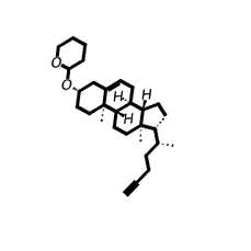 C#CCC[C@@H](C)[C@H]1CC[C@H]2[C@@H]3CC=C4C[C@@H](OC5CCCCO5)CC[C@]4(C)[C@H]3CC[C@]12C